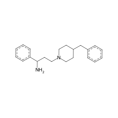 NC(CCN1CCC(Cc2ccccc2)CC1)c1ccccc1